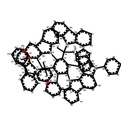 Cc1ccc2c3ccccc3n(-c3c(C(C)(C)n4c5ccccc5c5ccccc54)c(-c4ccccc4F)c(-n4c5ccccc5c5ccc6c(c7ccccc7n6-c6ccccc6)c54)c(-c4ccccc4F)c3C(C)(C)n3c4ccccc4c4ccccc43)c2c1-c1ccccc1C(C)c1ccccc1